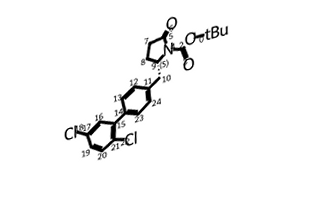 CC(C)(C)OC(=O)N1C(=O)CC[C@H]1Cc1ccc(-c2cc(Cl)ccc2Cl)cc1